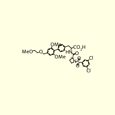 COCCOCc1cc(OC)c(-c2ccc(CC(NC(=O)[C@@H]3CCN3S(=O)(=O)c3cc(Cl)cc(Cl)c3)C(=O)O)cc2)c(OC)c1